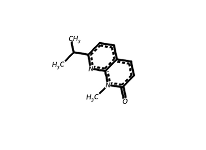 CC(C)c1ccc2ccc(=O)n(C)c2n1